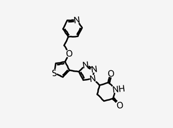 O=C1CCC(n2cc(-c3cscc3OCc3ccncc3)nn2)C(=O)N1